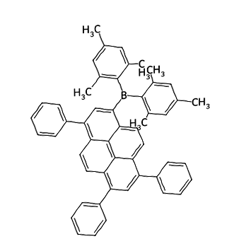 Cc1cc(C)c(B(c2c(C)cc(C)cc2C)c2cc(-c3ccccc3)c3ccc4c(-c5ccccc5)cc(-c5ccccc5)c5ccc2c3c54)c(C)c1